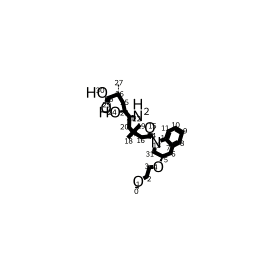 COCCO[C@@H]1Cc2ccccc2N(C(=O)CC(C)(C)C[C@H](N)[C@@H](O)C[C@@H](C)C(=O)O)C1